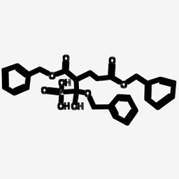 O=C(CCC(C(=O)OCc1ccccc1)C(O)(OCc1ccccc1)P(=O)(O)O)OCc1ccccc1